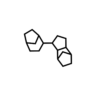 C1CC2CC1CCC2C1CCC2C3CCC(C3)C21